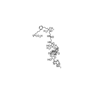 CC(C)(CCCc1cccc(CCCCC2(C(=O)O)CC2)c1)C(=O)CCNC(=O)CCNC(=O)C(O)C(C)(C)COP(=O)(O)OP(=O)(O)OCC1OC(n2cnc3c(N)ncnc32)C(O)C1OP(=O)(O)O